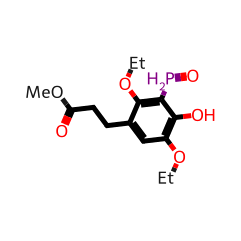 CCOc1cc(CCC(=O)OC)c(OCC)c([PH2]=O)c1O